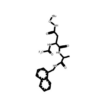 CC(NC(=O)C(CC(=O)NOC(C)(C)C)NC(=O)C(F)(F)F)C(=O)NCc1cccc2ccccc12